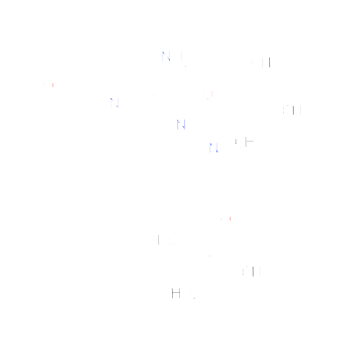 CC(C)(C)OC1=N[N+](OC(C)(C)C)(C(N)=NC=O)C=C1